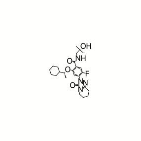 C[C@H](Oc1cc(-n2nc3n(c2=O)CCCC3)c(F)cc1C(=O)NCC(C)(C)O)C1CCCCC1